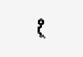 CCN=C=NCN1CCOCC1